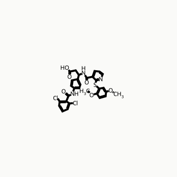 COc1ccc(OC)c(Sc2ncccc2C(=O)NC(CC(=O)O)c2ccc(NC(=O)c3c(Cl)cccc3Cl)cc2)c1